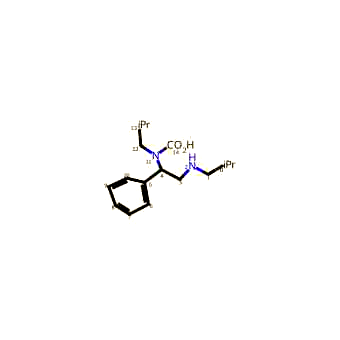 CC(C)CNCC(c1ccccc1)N(CC(C)C)C(=O)O